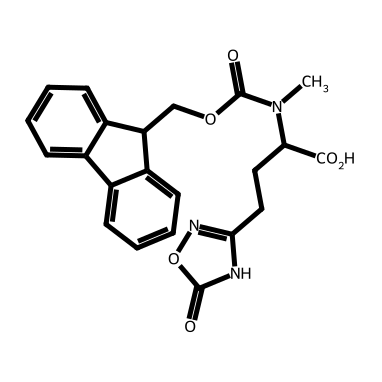 CN(C(=O)OCC1c2ccccc2-c2ccccc21)C(CCc1noc(=O)[nH]1)C(=O)O